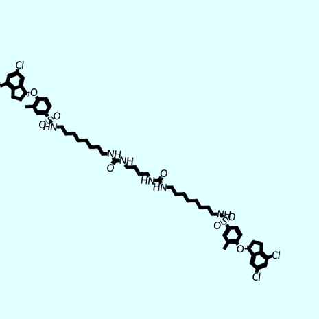 Cc1cc(S(=O)(=O)NCCCCCCCCNC(=O)NCCCCNC(=O)NCCCCCCCCNS(=O)(=O)c2ccc(O[C@@H]3CCc4c(Cl)cc(Cl)cc43)c(C)c2)ccc1O[C@@H]1CCc2c(Cl)cc(Cl)cc21